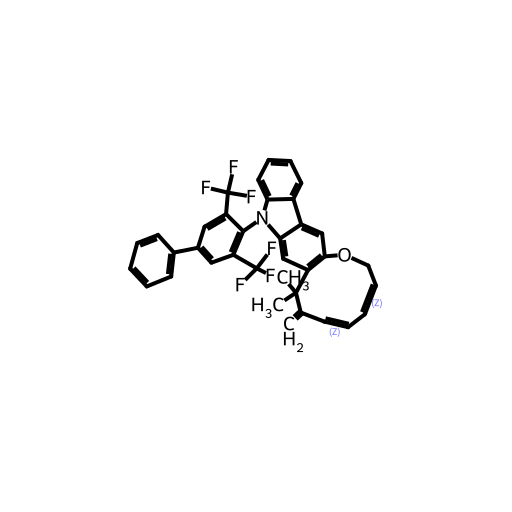 C=C1/C=C\C=C/COc2cc3c4ccccc4n(-c4c(C(F)(F)F)cc(-c5ccccc5)cc4C(F)(F)F)c3cc2C1(C)C